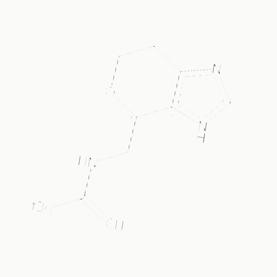 C=C(NCC1OCCc2nc[nH]c21)C(C)(C)C